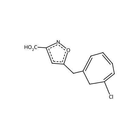 O=C(O)c1cc(CC2=CC=CC=C(Cl)C2)on1